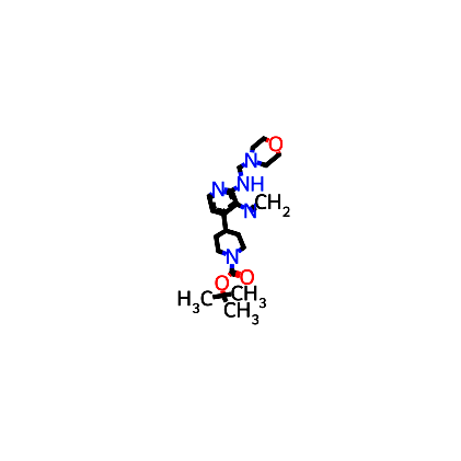 C=Nc1c(C2CCN(C(=O)OC(C)(C)C)CC2)ccnc1NCN1CCOCC1